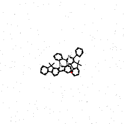 CC1(C)c2ccccc2-c2nc(-c3ccccc3-n3c4ccccc4c4ccc5c(c43)C(C)(C)c3ccccc3-5)nc(-c3ccccc3)c21